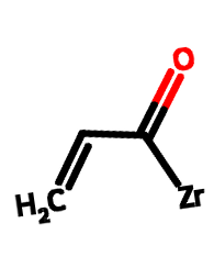 C=C[C](=O)[Zr]